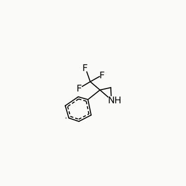 FC(F)(F)C1(c2cc[c]cc2)CN1